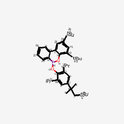 CC(C)c1cc(C(C)(C)CC(C)(C)C)cc(C(C)C)c1OP1Oc2c(cc(C(C)(C)C)cc2C(C)(C)C)-c2ccccc21